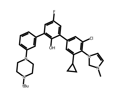 CN1C=CN(c2c(Cl)cc(-c3cc(F)cc(-c4cccc(N5CCN(C(C)(C)C)CC5)c4)c3O)cc2C2CC2)C1